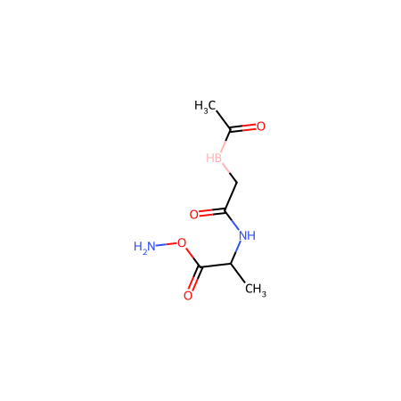 CC(=O)BCC(=O)NC(C)C(=O)ON